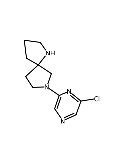 Clc1cncc(N2CCC3(CCCN3)C2)n1